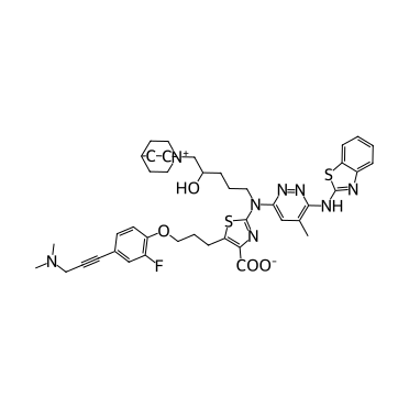 Cc1cc(N(CCCC(O)C[N+]23CCC(CC2)CC3)c2nc(C(=O)[O-])c(CCCOc3ccc(C#CCN(C)C)cc3F)s2)nnc1Nc1nc2ccccc2s1